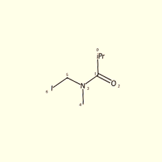 CC(C)C(=O)N(C)CI